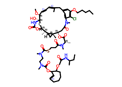 CCCCCOc1cc2cc(c1Cl)N(C)C(=O)C[C@H](OC(=O)[C@H](C)N(C)C(=O)CCSC(=O)N(C)CCN(C)C(=O)OC1/C=C/CCCCC1OCC(=O)NC(C)CC)[C@]1(C)C[C@H]1[C@H](C)[C@@H]1C[C@@](O)(NC(=O)O1)[C@H](OC)/C=C/C=C(\C)C2